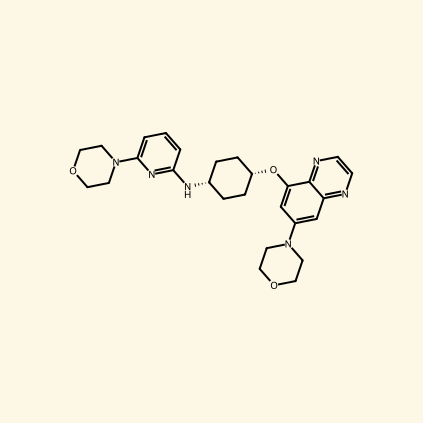 c1cc(N[C@H]2CC[C@@H](Oc3cc(N4CCOCC4)cc4nccnc34)CC2)nc(N2CCOCC2)c1